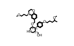 COCCCN1CCOc2ccc(CO[C@H]3CNC[C@@H](CO)[C@@H]3c3ccc(OCCCC(C)OC)cc3)cc21